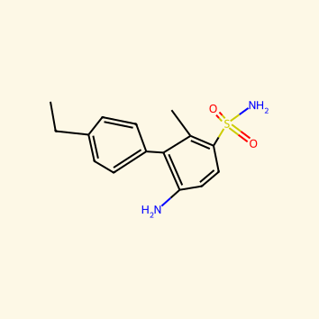 CCc1ccc(-c2c(N)ccc(S(N)(=O)=O)c2C)cc1